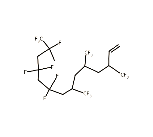 C=CC(CC(CC(CC(F)(F)CC(F)(F)CC(C)(F)C(F)(F)F)C(F)(F)F)C(F)(F)F)C(F)(F)F